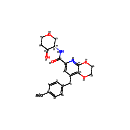 COc1ccc(Cc2cc(C(=O)N[C@H]3COCC[C@@H]3O)nc3c2OCCO3)cc1